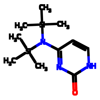 C[Si](C)(C)N(c1cc[nH]c(=O)n1)[Si](C)(C)C